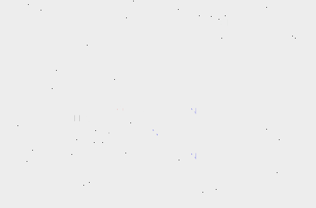 CC1(c2ccccc2)CCN(c2nccc(-c3cccc(Cl)c3)n2)C(=O)O1